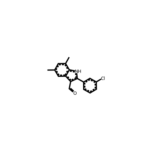 Cc1cc(C)c2[nH]c(-c3cccc(Cl)c3)c(C=O)c2c1